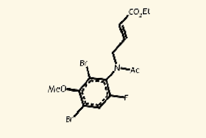 CCOC(=O)C=CCN(C(C)=O)c1c(F)cc(Br)c(OC)c1Br